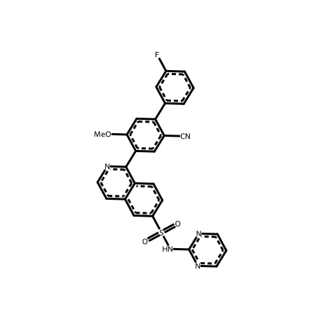 COc1cc(-c2cccc(F)c2)c(C#N)cc1-c1nccc2cc(S(=O)(=O)Nc3ncccn3)ccc12